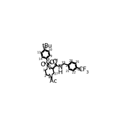 CC(=O)N1CCN(S(=O)(=O)c2ccc(C(C)(C)C)cc2)C(C(=O)NCc2ccc(C(F)(F)F)cc2)C1